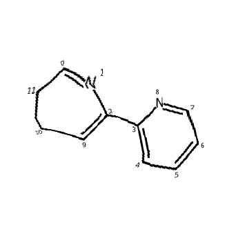 C1=NC(c2ccccn2)=CCC1